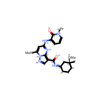 CNc1cc(Nc2cccn(C(C)C)c2=O)nc2c(C(=O)NC3CCC[C@](C)(OC)C3)cnn12